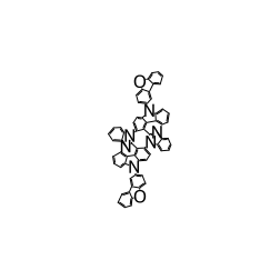 c1ccc2c(c1)nc1c3c4c5ccccc5n(-c5ccc6oc7ccccc7c6c5)c4ccc3n3c4ccccc4nc3c3c4c5ccccc5n(-c5ccc6oc7ccccc7c6c5)c4ccc3n21